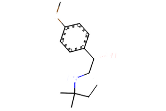 CSc1ccc([C@H](O)[C@@H]2CCC(C)(C)N2)cc1